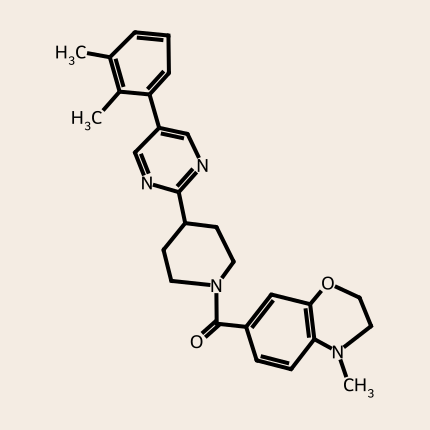 Cc1cccc(-c2cnc(C3CCN(C(=O)c4ccc5c(c4)OCCN5C)CC3)nc2)c1C